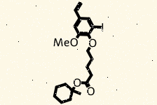 C=Cc1cc(I)c(OCCCCC(=O)OC2(C)CCCCC2)c(OC)c1